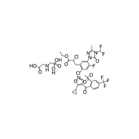 CCOC(=O)C(Cl)Cc1cc(-n2nc(C)n(C(F)F)c2=O)c(F)cc1Cl.CS(=O)(=O)c1cc(C(F)(F)F)ccc1C(=O)c1cnoc1C1CC1.O=C(O)CNCP(=O)(O)O